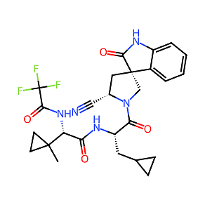 CC1([C@H](NC(=O)C(F)(F)F)C(=O)N[C@@H](CC2CC2)C(=O)N2C[C@]3(C[C@H]2C#N)C(=O)Nc2ccccc23)CC1